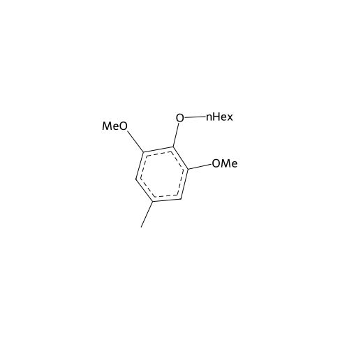 CCCCCCOc1c(OC)cc(C)cc1OC